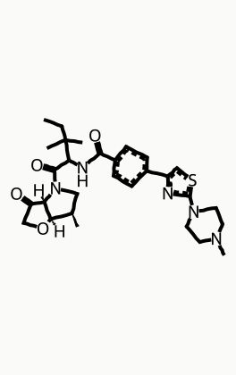 CCC(C)(C)C(NC(=O)c1ccc(-c2csc(N3CCN(C)CC3)n2)cc1)C(=O)N1C[C@@H](C)[C@H]2OCC(=O)[C@H]21